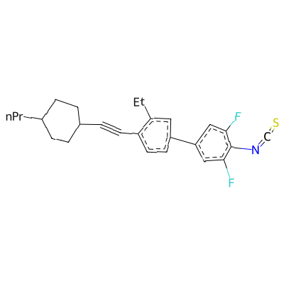 CCCC1CCC(C#Cc2ccc(-c3cc(F)c(N=C=S)c(F)c3)cc2CC)CC1